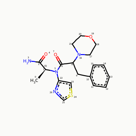 C[C@@H](C(N)=O)N(C(=O)C(Cc1ccccc1)N1CCOCC1)c1cscn1